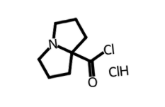 Cl.O=C(Cl)C12CCCN1CCC2